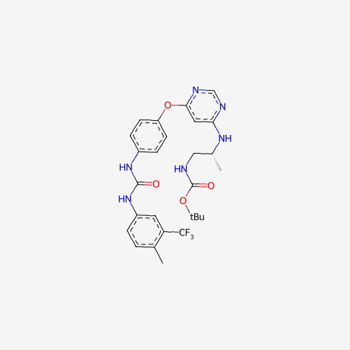 Cc1ccc(NC(=O)Nc2ccc(Oc3cc(N[C@H](C)CNC(=O)OC(C)(C)C)ncn3)cc2)cc1C(F)(F)F